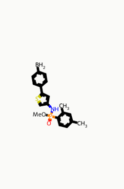 Bc1ccc(-c2cc(NP(=O)(OC)c3ccc(C)cc3C)cs2)cc1